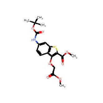 COC(=O)COc1c(C(=O)OC)sc2cc(NC(=O)OC(C)(C)C)ccc12